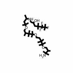 CC(CC(C)(C)OCC(C)C(C)(C)C(C)(C)OCCC(C)(C)C(C)(C)OCC(C)C(C)(C)N)NCC(O)CC(C)(C)C(F)(F)C(C)(C)F